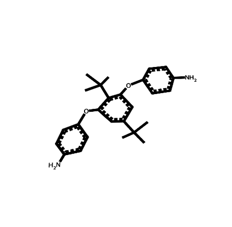 CC(C)(C)c1cc(Oc2ccc(N)cc2)c(C(C)(C)C)c(Oc2ccc(N)cc2)c1